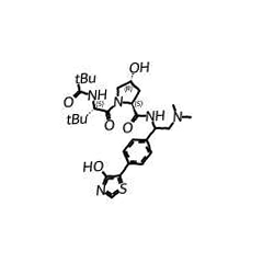 CN(C)CC(NC(=O)[C@@H]1C[C@@H](O)CN1C(=O)[C@@H](NC(=O)C(C)(C)C)C(C)(C)C)c1ccc(-c2scnc2O)cc1